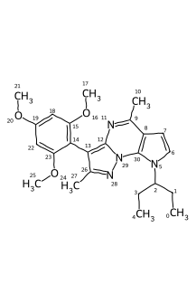 CCC(CC)n1ccc2c(C)nc3c(-c4c(OC)cc(OC)cc4OC)c(C)nn3c21